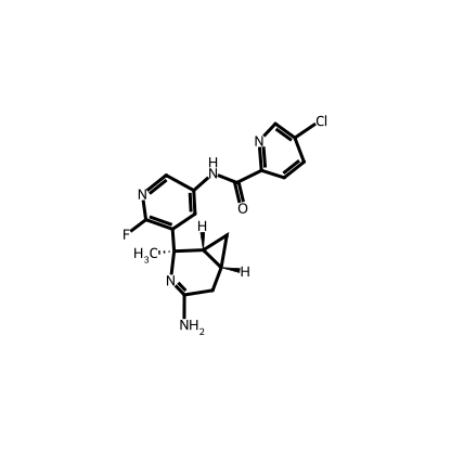 C[C@@]1(c2cc(NC(=O)c3ccc(Cl)cn3)cnc2F)N=C(N)C[C@H]2C[C@H]21